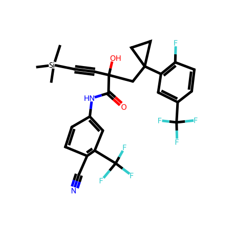 C[Si](C)(C)C#CC(O)(CC1(c2cc(C(F)(F)F)ccc2F)CC1)C(=O)Nc1ccc(C#N)c(C(F)(F)F)c1